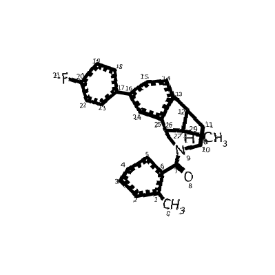 Cc1ccccc1C(=O)N1CCC2c3ccc(-c4ccc(F)cc4)cc3C1[C@H]2C